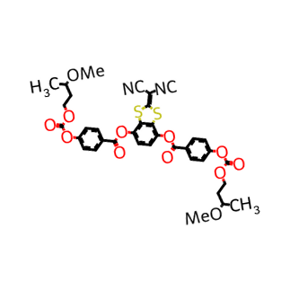 [C-]#[N+]C(C#N)=C1Sc2c(OC(=O)c3ccc(OC(=O)OCCC(C)OC)cc3)ccc(OC(=O)c3ccc(OC(=O)OCCC(C)OC)cc3)c2S1